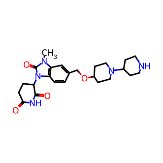 Cn1c(=O)n(C2CCC(=O)NC2=O)c2ccc(COC3CCN(C4CCNCC4)CC3)cc21